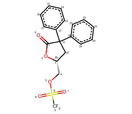 O=C1O[C@@H](COS(=O)(=O)C(F)(F)F)CC1(c1ccccc1)c1ccccc1